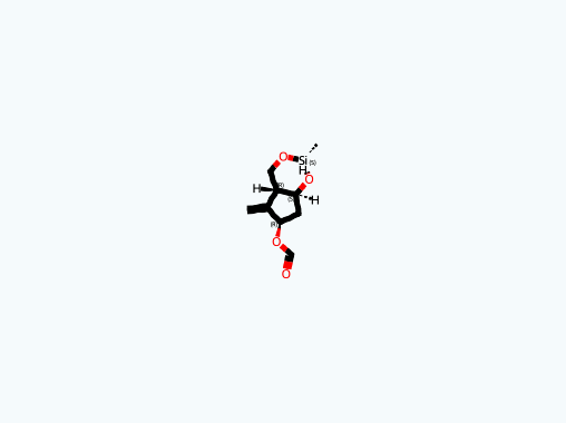 C=C1[C@H](OC=O)C[C@@H]2O[Si@@H](C)OC[C@@H]12